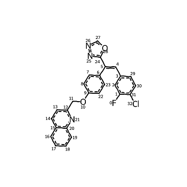 Fc1cc(/C=C(\c2ccc(OCc3ccc4ccccc4n3)cc2)c2nnco2)ccc1Cl